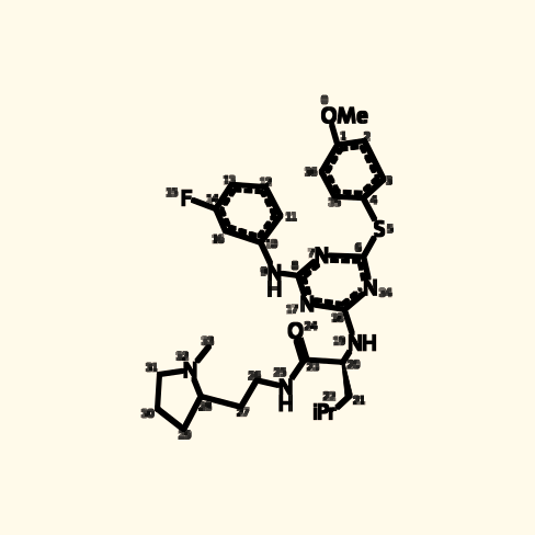 COc1ccc(Sc2nc(Nc3cccc(F)c3)nc(N[C@@H](CC(C)C)C(=O)NCCC3CCCN3C)n2)cc1